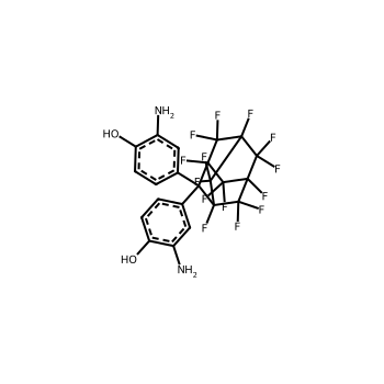 Nc1cc(C2(c3ccc(O)c(N)c3)C3(F)C(F)(F)C4(F)C(F)(F)C(F)(C3(F)F)C(F)(F)C2(F)C4(F)F)ccc1O